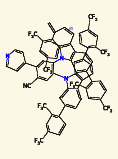 C=C(/C=C\c1c(C)n(-c2cc(-c3ccncc3)c(C#N)cc2-n2c3cc(-c4ccc(C(F)(F)F)cc4C(F)(F)F)ccc3c3ccc(-c4ccc(C(F)(F)F)cc4C(F)(F)F)cc32)c2cc(-c3ccc(C(F)(F)F)cc3C(F)(F)F)ccc12)c1ccc(C(F)(F)F)cc1C(F)(F)F